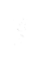 CCCCCC(C)(CCC)c1ccc(NCCC(C)(C)C)nc1